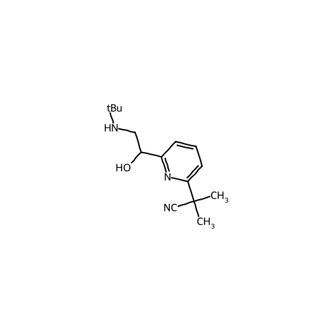 CC(C)(C)NCC(O)c1cccc(C(C)(C)C#N)n1